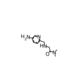 CN(C)C(=O)CNCc1ccc(N)cn1